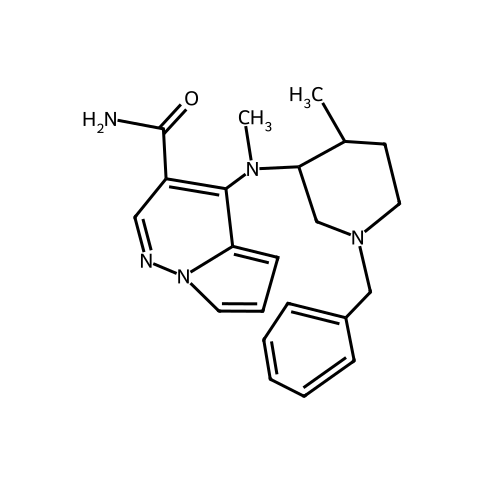 CC1CCN(Cc2ccccc2)CC1N(C)c1c(C(N)=O)cnn2cccc12